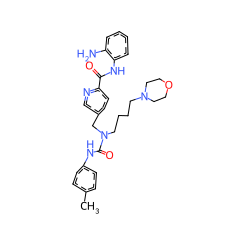 Cc1ccc(NC(=O)N(CCCCN2CCOCC2)Cc2ccc(C(=O)Nc3ccccc3N)nc2)cc1